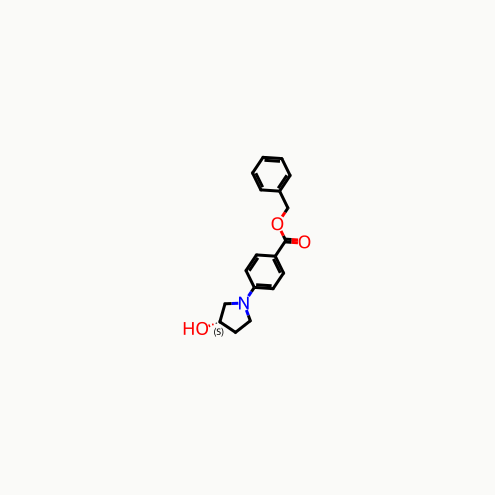 O=C(OCc1ccccc1)c1ccc(N2CC[C@H](O)C2)cc1